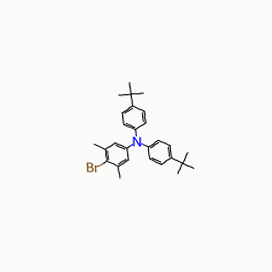 Cc1cc(N(c2ccc(C(C)(C)C)cc2)c2ccc(C(C)(C)C)cc2)cc(C)c1Br